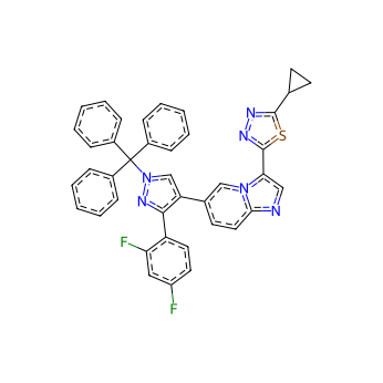 Fc1ccc(-c2nn(C(c3ccccc3)(c3ccccc3)c3ccccc3)cc2-c2ccc3ncc(-c4nnc(C5CC5)s4)n3c2)c(F)c1